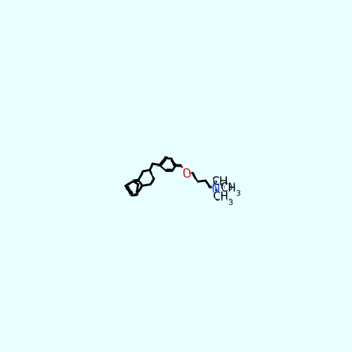 C[N+](C)(C)CCCCOCc1ccc(CC2CCC3C4C=CC(C4)C3C2)cc1